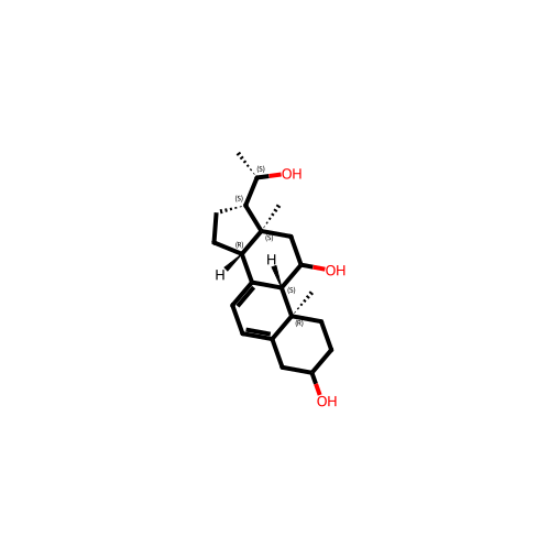 C[C@H](O)[C@H]1CC[C@H]2C3=CC=C4CC(O)CC[C@]4(C)[C@H]3C(O)C[C@]12C